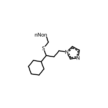 CCCCCCCCCCSC(CCn1ccnc1)C1CCCCC1